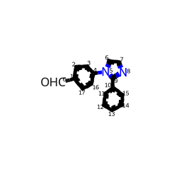 O=Cc1ccc(-n2ccnc2-c2ccccc2)cc1